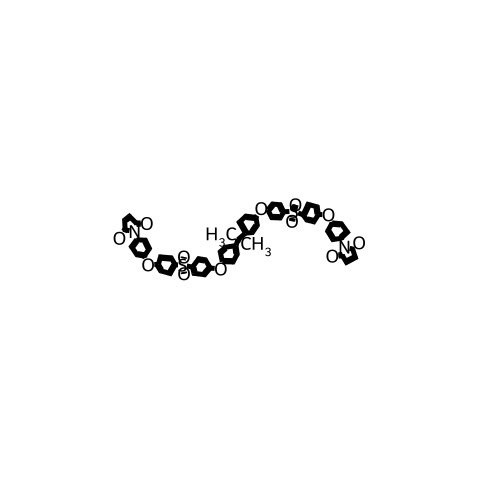 CC(C)(c1ccc(Oc2ccc(S(=O)(=O)c3ccc(Oc4ccc(N5C(=O)C=CC5=O)cc4)cc3)cc2)cc1)c1ccc(Oc2ccc(S(=O)(=O)c3ccc(Oc4ccc(N5C(=O)C=CC5=O)cc4)cc3)cc2)cc1